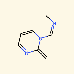 C=C1N=CC=CN1/C=N\C